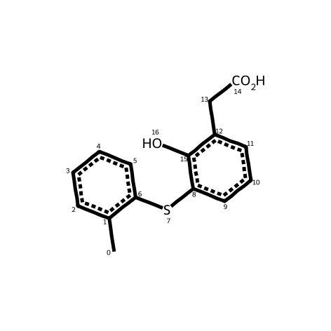 Cc1ccccc1Sc1cccc(CC(=O)O)c1O